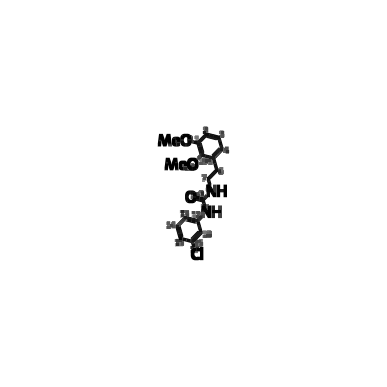 COc1cccc(CCNC(=O)Nc2cccc(Cl)c2)c1OC